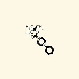 CC(C)(C)OC(=O)N1CCN(C2CCCCC2)CC1